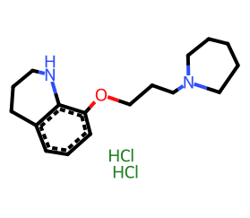 Cl.Cl.c1cc2c(c(OCCCN3CCCCC3)c1)NCCC2